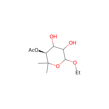 CCOC1OC(C)(C)[C@@H](OC(C)=O)C(O)C1O